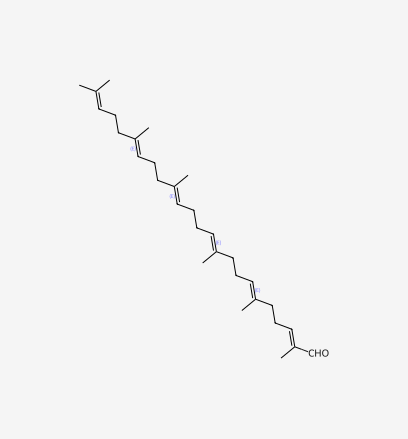 CC(C)=CCC/C(C)=C/CC/C(C)=C/CC/C=C(\C)CC/C=C(\C)CCC=C(C)C=O